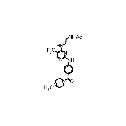 CC(=O)NCCNc1nc(Nc2ccc(C(=O)N3CCN(C)CC3)cc2)ncc1C(F)(F)F